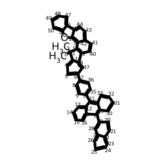 CC1(C)c2ccc(-c3ccc(-c4c5ccccc5c(-c5ccc6ccccc6c5)c5ccccc45)cc3)cc2-c2ccc3ccc4c5ccccc5oc4c3c21